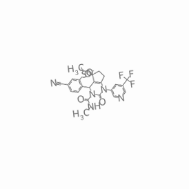 CNC(=O)N1C(=O)N(c2cncc(C(F)(F)F)c2)C2=C(C(=O)CC2)C1c1ccc(C#N)cc1[S+](C)[O-]